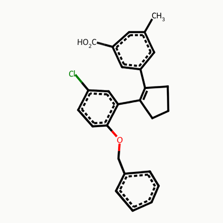 Cc1cc(C(=O)O)cc(C2=C(c3cc(Cl)ccc3OCc3ccccc3)CCC2)c1